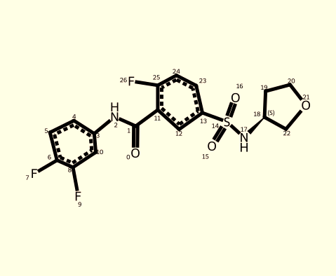 O=C(Nc1ccc(F)c(F)c1)c1cc(S(=O)(=O)N[C@H]2CCOC2)ccc1F